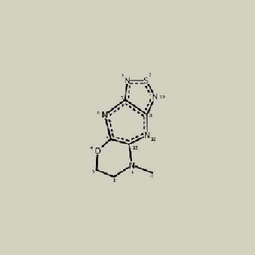 CN1CCOc2nc3nsnc3nc21